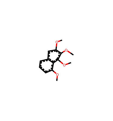 COc1[c]c2cccc(OC)c2c(OC)c1OC